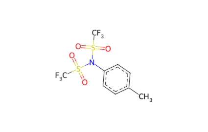 Cc1ccc(N(S(=O)(=O)C(F)(F)F)S(=O)(=O)C(F)(F)F)cc1